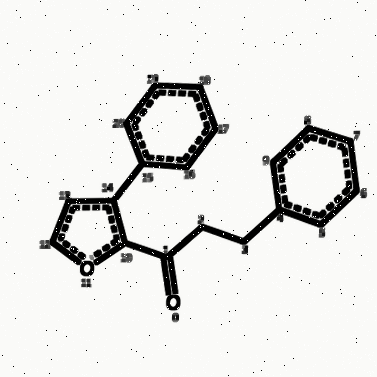 O=C(CCc1ccccc1)c1occc1-c1ccccc1